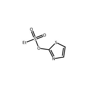 CCS(=O)(=O)Oc1nccs1